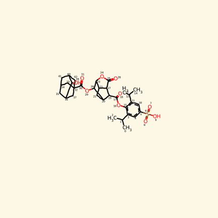 CC(C)c1cc(S(=O)(=O)O)cc(C(C)C)c1OC(=O)C1C2CC3C(OC(=O)C31)C2OC(=O)C12CC3CC(C1)C(O)C(C3)C2